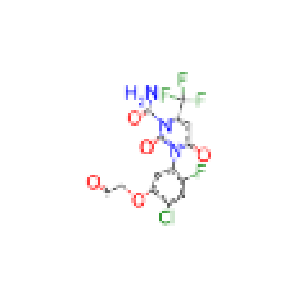 NC(=O)n1c(C(F)(F)F)cc(=O)n(-c2cc(OC[C]=O)c(Cl)cc2F)c1=O